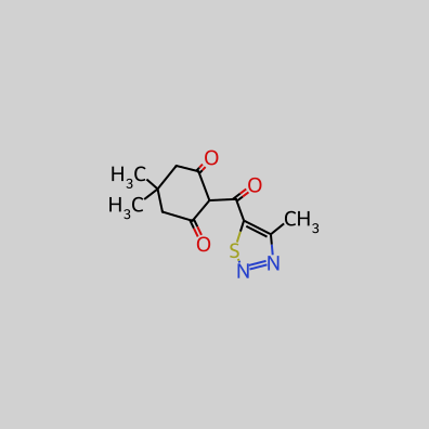 Cc1nnsc1C(=O)C1C(=O)CC(C)(C)CC1=O